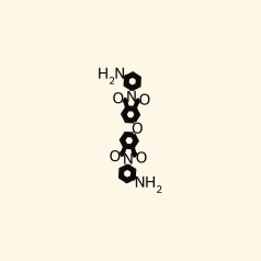 Nc1cccc(N2C(=O)c3ccc(Oc4ccc5c(c4)C(=O)N(c4cccc(N)c4)C5=O)cc3C2=O)c1